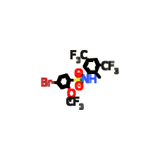 Cc1c(NS(=O)(=O)c2ccc(Br)cc2OC(F)(F)F)cc(C(F)(F)F)cc1C(F)(F)F